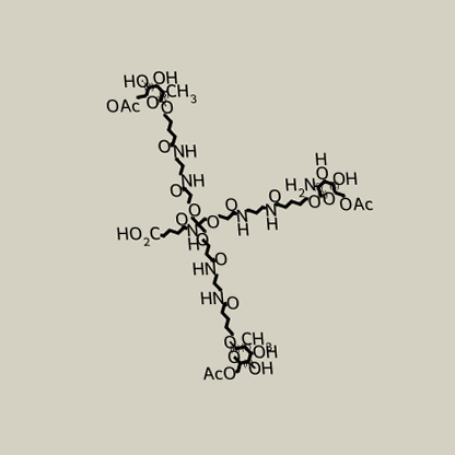 CC(=O)OCC1O[C@@H](OCCCCC(=O)NCCCNC(=O)CCOCC(COCCC(=O)NCCCNC(=O)CCCCO[C@@H]2OC(COC(C)=O)[C@H](O)C(O)[C@@H]2C)(COCCC(=O)NCCCNC(=O)CCCCO[C@@H]2OC(COC(C)=O)[C@H](O)C(O)[C@@H]2N)NC(=O)CCCC(=O)O)[C@@H](C)C(O)[C@H]1O